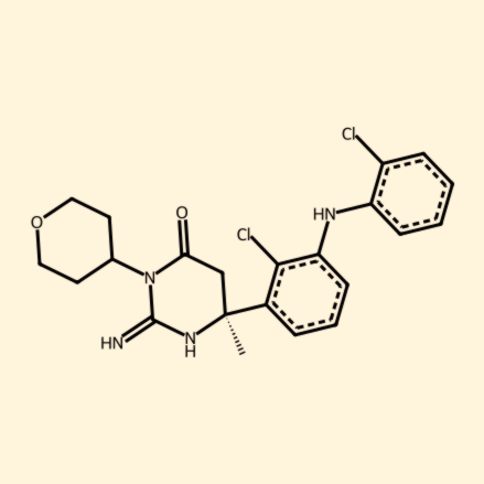 C[C@@]1(c2cccc(Nc3ccccc3Cl)c2Cl)CC(=O)N(C2CCOCC2)C(=N)N1